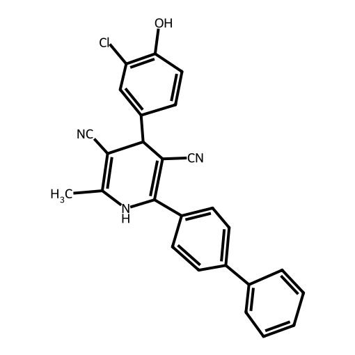 CC1=C(C#N)C(c2ccc(O)c(Cl)c2)C(C#N)=C(c2ccc(-c3ccccc3)cc2)N1